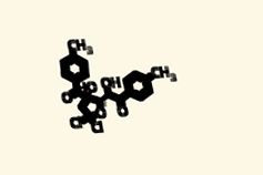 Cc1ccc(C(=O)C(O)[C@H]2OC(Cl)(Cl)C[C@@]2(O)C(=O)c2ccc(C)cc2)cc1